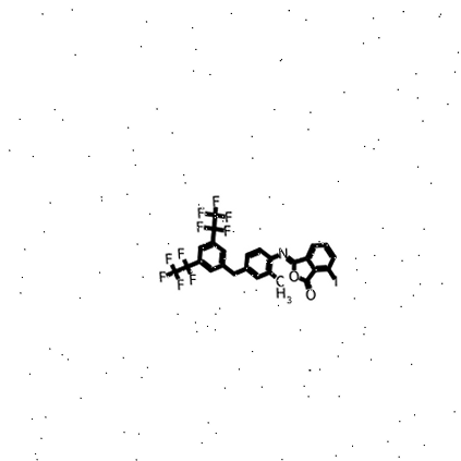 Cc1cc(Cc2cc(C(F)(F)C(F)(F)F)cc(C(F)(F)C(F)(F)F)c2)ccc1N=C1OC(=O)c2c(I)cccc21